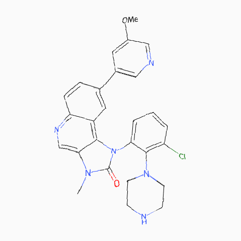 COc1cncc(-c2ccc3ncc4c(c3c2)n(-c2cccc(Cl)c2N2CCNCC2)c(=O)n4C)c1